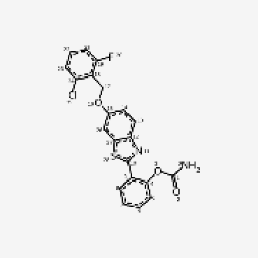 NC(=O)Oc1ccccc1-c1nc2ccc(OCc3c(F)cccc3Cl)cc2s1